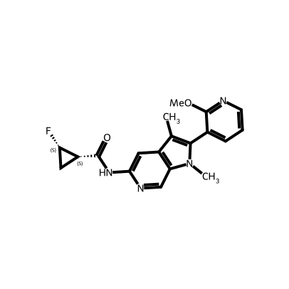 COc1ncccc1-c1c(C)c2cc(NC(=O)[C@@H]3C[C@@H]3F)ncc2n1C